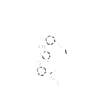 [CH2]CNC(=O)c1cccc(Nc2nccc(Nc3cc(OCC=C)ccc3C)n2)c1